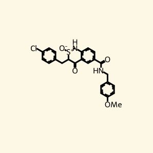 COc1ccc(CNC(=O)c2ccc3c(c2)C(=O)C(Cc2ccc(Cl)cc2)[S+]([O-])N3)cc1